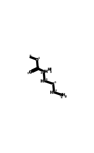 COC(=O)NNSNN.I